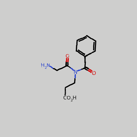 NCC(=O)N(CCC(=O)O)C(=O)c1ccccc1